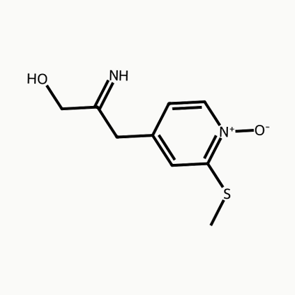 CSc1cc(CC(=N)CO)cc[n+]1[O-]